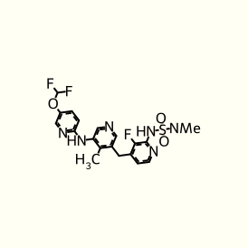 CNS(=O)(=O)Nc1nccc(Cc2cncc(Nc3ccc(OC(F)F)cn3)c2C)c1F